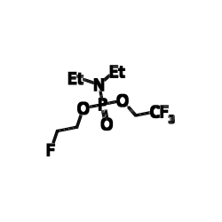 CCN(CC)P(=O)(OCCF)OCC(F)(F)F